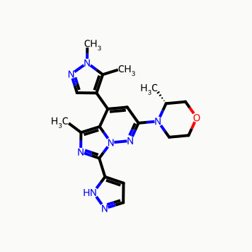 Cc1nc(-c2ccn[nH]2)n2nc(N3CCOC[C@H]3C)cc(-c3cnn(C)c3C)c12